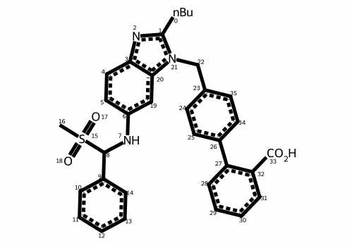 CCCCc1nc2ccc(NC(c3ccccc3)S(C)(=O)=O)cc2n1Cc1ccc(-c2ccccc2C(=O)O)cc1